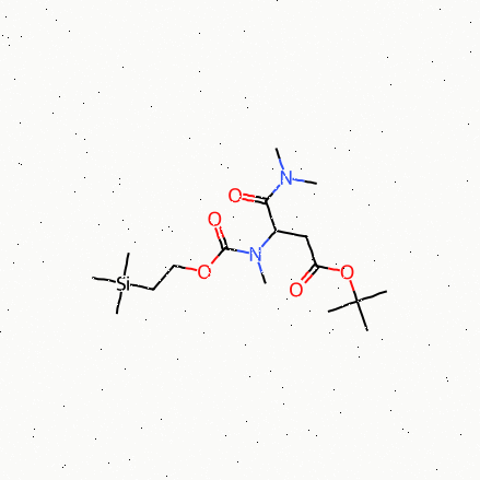 CN(C)C(=O)C(CC(=O)OC(C)(C)C)N(C)C(=O)OCC[Si](C)(C)C